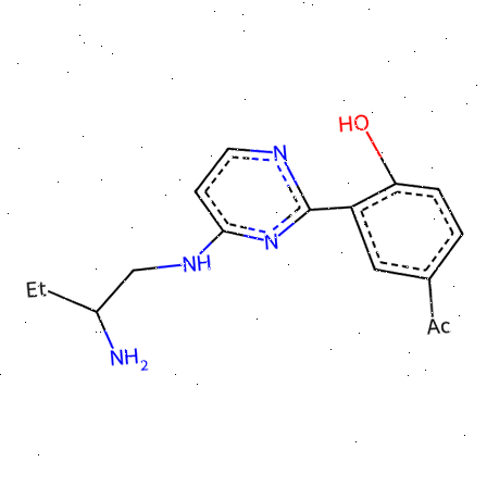 CCC(N)CNc1ccnc(-c2cc(C(C)=O)ccc2O)n1